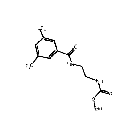 CC(C)(C)OC(=O)NCCNC(=O)c1cc(C(F)(F)F)cc(C(F)(F)F)c1